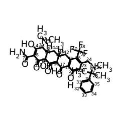 CN(C)[C@@H]1C(O)=C(C(N)=O)C(=O)[C@@]2(O)C(O)=C3C(=O)c4c(O)cc(CN(C)C(C)(C)c5ccccc5)c(C(F)(F)F)c4C[C@H]3C[C@@H]12